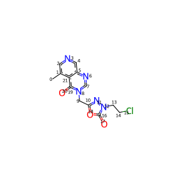 Cc1cncc2ncn(Cc3nn(CCCl)c(=O)o3)c(=O)c12